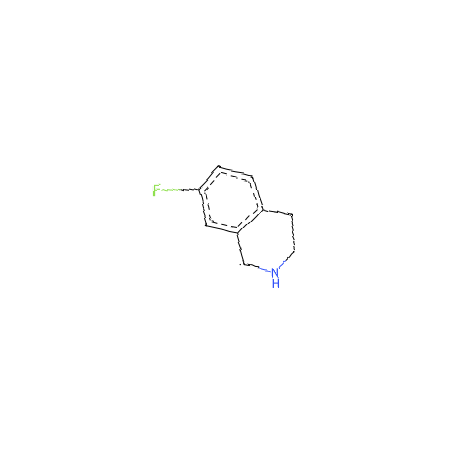 Fc1ccc2c(c1)[CH]NCC2